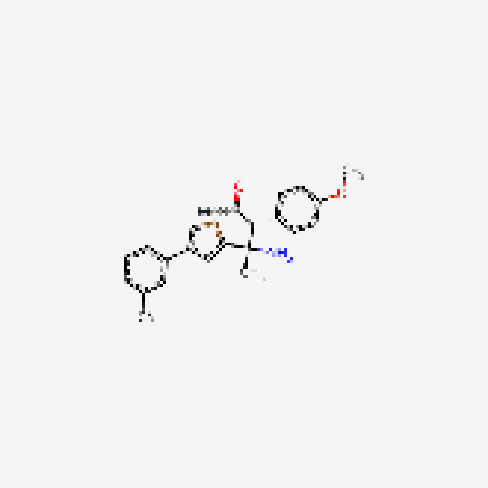 CNC(=O)[C@H](c1ccc(OC(F)(F)F)cc1)[C@](C)(N)c1cc(-c2cccc(C#N)c2)cs1